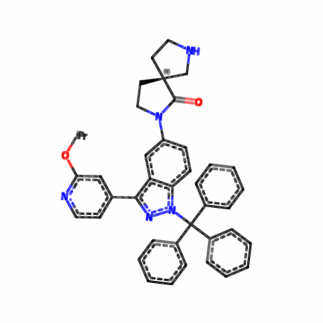 CC(C)Oc1cc(-c2nn(C(c3ccccc3)(c3ccccc3)c3ccccc3)c3ccc(N4CC[C@]5(CCNC5)C4=O)cc23)ccn1